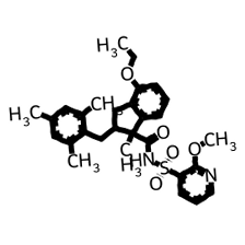 CCOc1cccc2c1CC(Cc1c(C)cc(C)cc1C)C2(C)C(=O)NS(=O)(=O)c1cccnc1OC